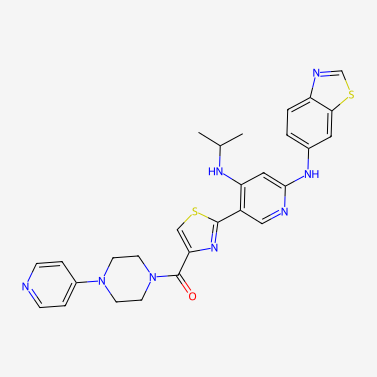 CC(C)Nc1cc(Nc2ccc3ncsc3c2)ncc1-c1nc(C(=O)N2CCN(c3ccncc3)CC2)cs1